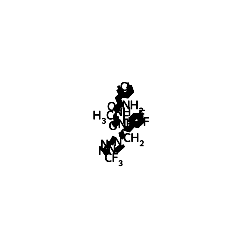 C=C(C[C@@H](Cc1cc(F)c(F)cc1F)NC(=O)C(C)NC(=O)C(N)Cc1ccccc1)N1CCn2c(nnc2C(F)(F)F)C1